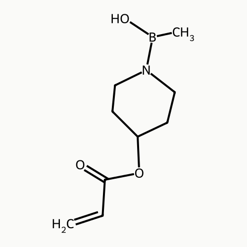 C=CC(=O)OC1CCN(B(C)O)CC1